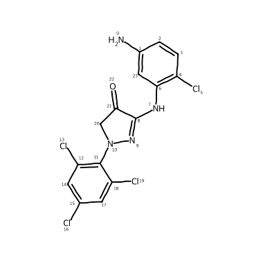 Nc1ccc(Cl)c(NC2=NN(c3c(Cl)cc(Cl)cc3Cl)CC2=O)c1